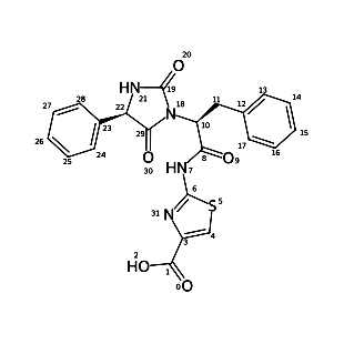 O=C(O)c1csc(NC(=O)[C@H](Cc2ccccc2)N2C(=O)N[C@H](c3ccccc3)C2=O)n1